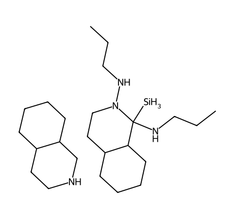 C1CCC2CNCCC2C1.CCCNN1CCC2CCCCC2C1([SiH3])NCCC